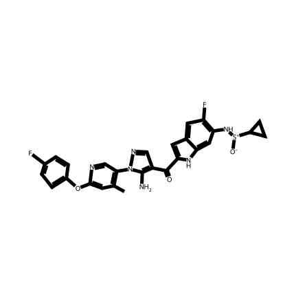 Cc1cc(Oc2ccc(F)cc2)ncc1-n1ncc(C(=O)c2cc3cc(F)c(N[S+]([O-])C4CC4)cc3[nH]2)c1N